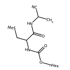 CCCCCCOC(=O)NC(CSC)C(=O)NC(C)C#N